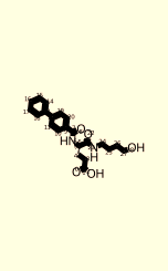 O=C(O)CC[C@H](NC(=O)c1ccc(-c2ccccc2)cc1)C(=O)NCCCCO